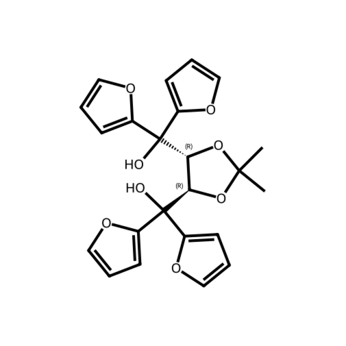 CC1(C)O[C@@H](C(O)(c2ccco2)c2ccco2)[C@H](C(O)(c2ccco2)c2ccco2)O1